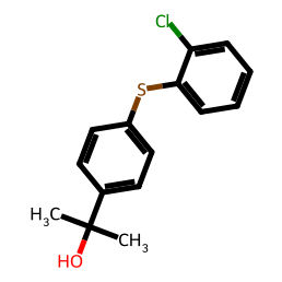 CC(C)(O)c1ccc(Sc2ccccc2Cl)cc1